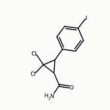 NC(=O)C1C(c2ccc(I)cc2)C1(Cl)Cl